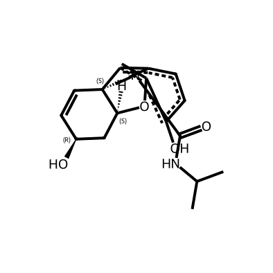 CC(C)NC(=O)N1CC[C@@]23C=C[C@H](O)C[C@@H]2Oc2c(O)ccc(c23)C1